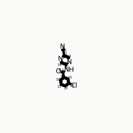 N#Cc1cnc(NC(=O)c2[c]ccc(Cl)c2)cn1